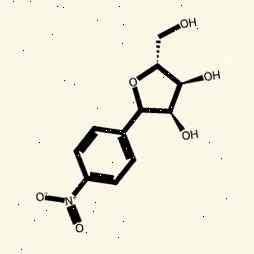 O=[N+]([O-])c1ccc(C2O[C@H](CO)[C@@H](O)[C@H]2O)cc1